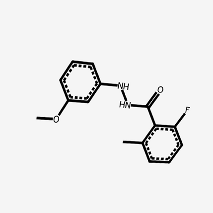 COc1cccc(NNC(=O)c2c(C)cccc2F)c1